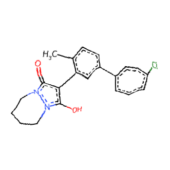 Cc1ccc(-c2cccc(Cl)c2)cc1-c1c(O)n2n(c1=O)CCCC2